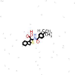 CC(C)(C)c1ccc(C(=O)Nc2sc3c(c2C(=O)O)-c2ccccc2C3)cc1